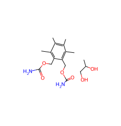 CC(O)CO.Cc1c(C)c(C)c(COC(N)=O)c(COC(N)=O)c1C